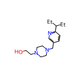 CCC(CC)c1ccc(CN2CCN(CCO)CC2)cn1